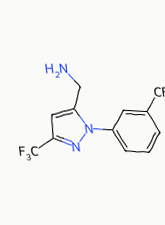 NCc1cc(C(F)(F)F)nn1-c1cccc(C(F)(F)F)c1